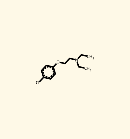 CCN(CC)CCOc1ccc(Cl)cc1